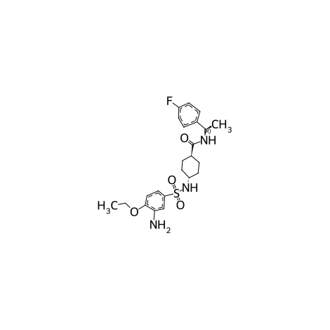 CCOc1ccc(S(=O)(=O)N[C@H]2CC[C@H](C(=O)N[C@H](C)c3ccc(F)cc3)CC2)cc1N